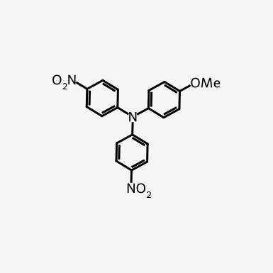 COc1ccc(N(c2ccc([N+](=O)[O-])cc2)c2ccc([N+](=O)[O-])cc2)cc1